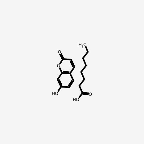 CCCCCCCC(=O)O.O=c1ccc2ccc(O)cc2o1